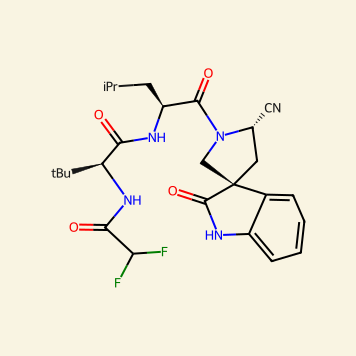 CC(C)C[C@H](NC(=O)[C@@H](NC(=O)C(F)F)C(C)(C)C)C(=O)N1C[C@]2(C[C@H]1C#N)C(=O)Nc1ccccc12